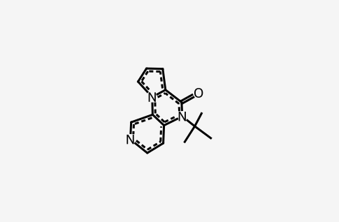 CC(C)(C)n1c(=O)c2cccn2c2cnccc21